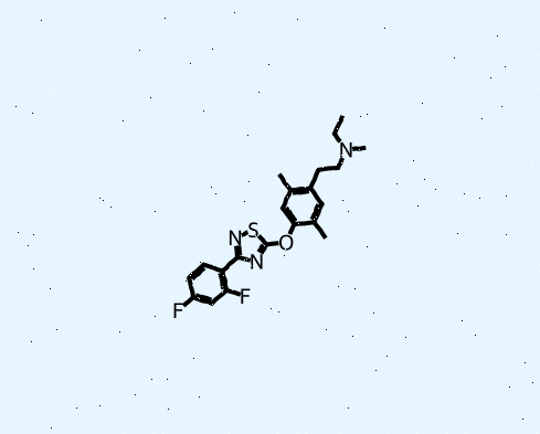 CCN(C)CCc1cc(C)c(Oc2nc(-c3ccc(F)cc3F)ns2)cc1C